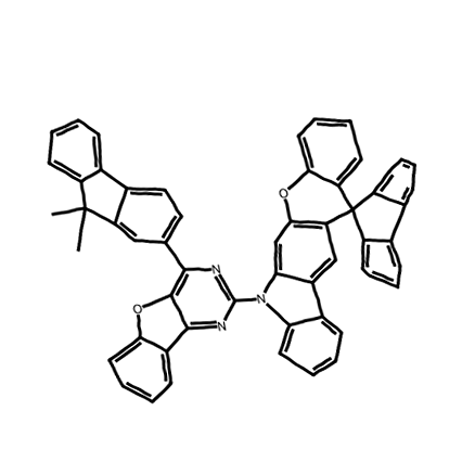 CC1(C)c2ccccc2-c2ccc(-c3nc(-n4c5ccccc5c5cc6c(cc54)Oc4ccccc4C64c5ccccc5-c5ccccc54)nc4c3oc3ccccc34)cc21